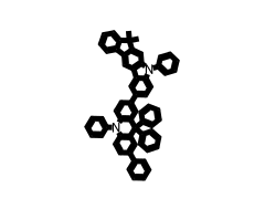 CC1(C)c2ccccc2-c2cc3c4cc(-c5ccc6c(c5)C(c5ccccc5)(c5ccccc5)c5cc(-c7ccccc7)ccc5N6c5ccccc5)ccc4n(-c4ccccc4)c3cc21